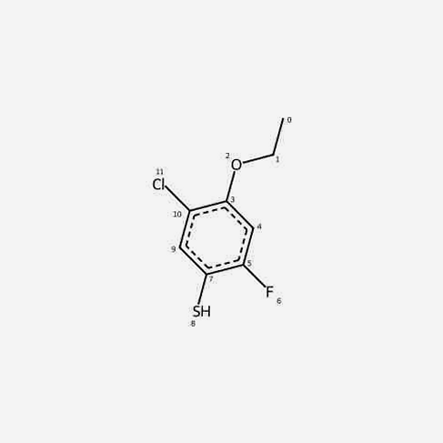 CCOc1cc(F)c(S)cc1Cl